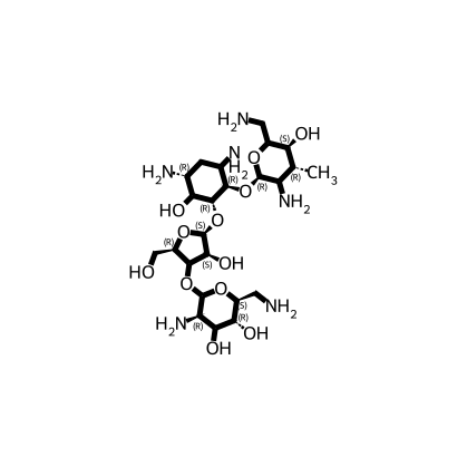 C[C@@H]1C(N)[C@@H](O[C@@H]2C(N)C[C@@H](N)C(O)[C@H]2O[C@@H]2O[C@H](CO)C(OC3O[C@@H](CN)[C@H](O)C(O)[C@H]3N)[C@@H]2O)OC(CN)[C@H]1O